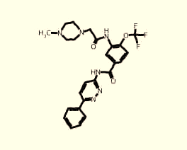 CN1CCN(CC(=O)Nc2cc(C(=O)Nc3ccc(-c4ccccc4)nn3)ccc2OC(F)(F)F)CC1